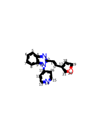 C(=Cc1nc2ccccc2n1-c1ccncc1)c1ccoc1